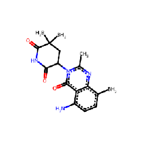 Bc1ccc(N)c2c(=O)n(C3CC(B)(B)C(=O)NC3=O)c(C)nc12